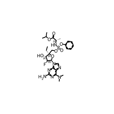 CC[C@]1(CO[P@@](=O)(N[C@@H](C)C(=O)OC(C)C)Oc2ccccc2)O[C@@H](n2cnc3c(N(C)C)nc(N)nc32)[C@H](F)[C@@H]1O